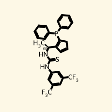 C[C@H](NC(=S)Nc1cc(C(F)(F)F)cc(C(F)(F)F)c1)C1=C(P(c2ccccc2)c2ccccc2)CC=C1